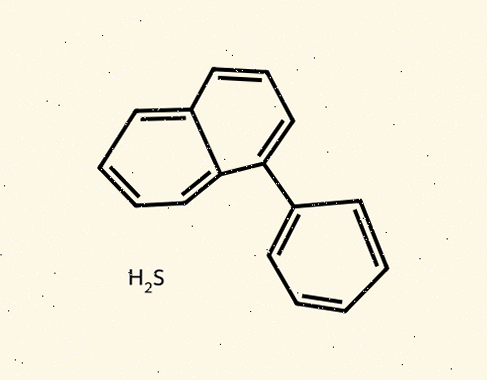 S.c1ccc(-c2cccc3ccccc23)cc1